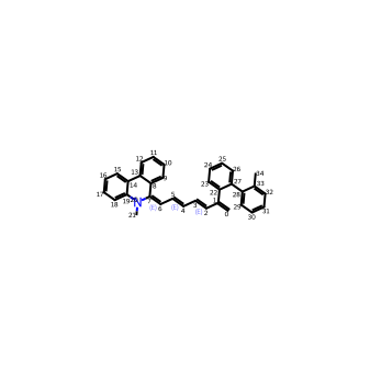 C=C(/C=C/C=C/C=C1\c2ccccc2-c2ccccc2N1C)c1ccccc1-c1ccccc1C